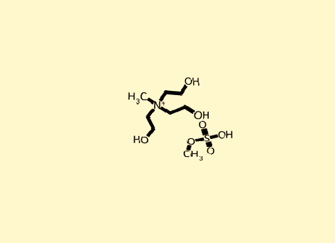 COS(=O)(=O)O.C[N+](CCO)(CCO)CCO